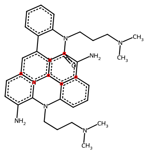 CN(C)CCCN(c1ccccc1-c1ccnc(-c2ccccc2N(CCCN(C)C)c2ncccc2N)c1C=O)c1ncccc1N